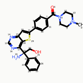 CN1CCN(C(=O)c2ccc(-c3cc4ncnc([C@](N)(CO)c5ccccc5)c4s3)cc2)CC1